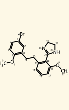 COc1ccc(Br)cc1CCc1cccc(OC)c1C1=NCCN1